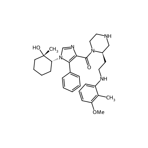 COc1cccc(NCC[C@@H]2CNCCN2C(=O)c2ncn([C@@H]3CCCC[C@]3(C)O)c2-c2ccccc2)c1C